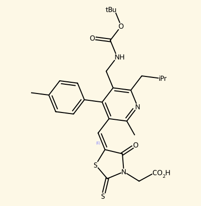 Cc1ccc(-c2c(/C=C3/SC(=S)N(CC(=O)O)C3=O)c(C)nc(CC(C)C)c2CNC(=O)OC(C)(C)C)cc1